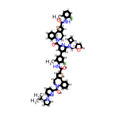 Cc1cccc(F)c1NC(=O)c1cc2c(s1)-c1ccccc1N(C(=O)c1cc(-c3cc(C)c(NC(=O)c4cc5c(s4)-c4ccccc4N(C(=O)c4cccc(N6CCC[C@H]6C(C)C)n4)CC5)c(F)c3)cc(N(C[C@H]3CCCO3)C3CCC3)n1)CC2